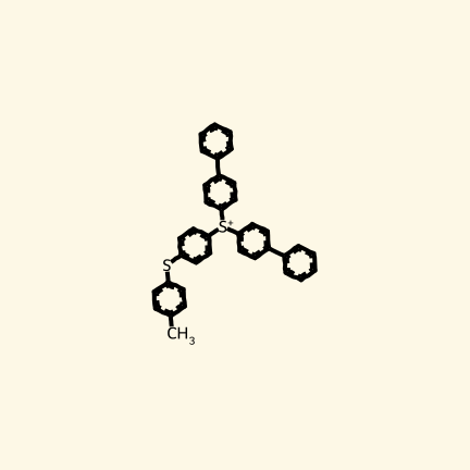 Cc1ccc(Sc2ccc([S+](c3ccc(-c4ccccc4)cc3)c3ccc(-c4ccccc4)cc3)cc2)cc1